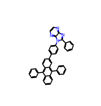 c1ccc(-c2c3ccccc3c(-c3ccccc3)c3cc(-c4ccc(-n5c(-c6ccccc6)nc6nccnc65)cc4)ccc23)cc1